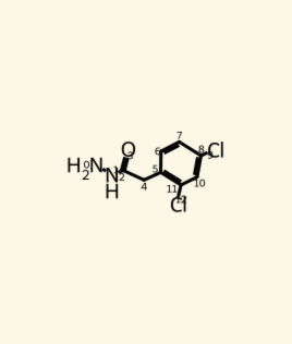 NNC(=O)Cc1ccc(Cl)cc1Cl